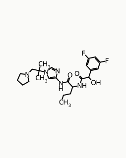 CCCC(NC(=O)C(O)c1cc(F)cc(F)c1)C(=O)Nc1cn(C(C)(C)CN2CCCC2)cn1